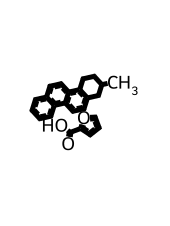 CC1CCc2c(ccc3c2ccc2ccccc23)C1.O=C(O)c1ccco1